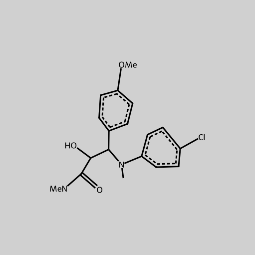 CNC(=O)C(O)C(c1ccc(OC)cc1)N(C)c1ccc(Cl)cc1